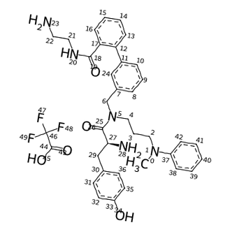 CN(CCCN(Cc1cccc(-c2ccccc2C(=O)NCCN)c1)C(=O)[C@@H](N)Cc1ccc(O)cc1)c1ccccc1.O=C(O)C(F)(F)F